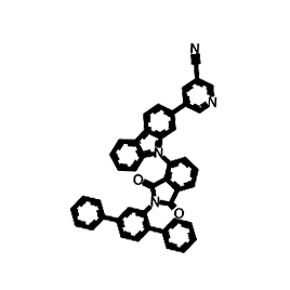 N#Cc1cncc(-c2ccc3c4ccccc4n(-c4cccc5c4C(=O)N(c4cc(-c6ccccc6)ccc4-c4ccccc4)C5=O)c3c2)c1